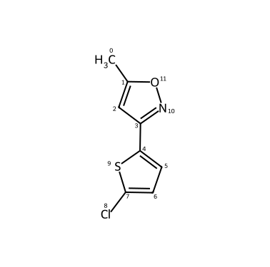 Cc1cc(-c2ccc(Cl)s2)no1